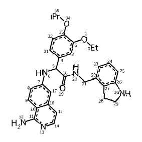 CCOc1cc(C(Nc2ccc3c(N)nccc3c2)C(=O)NCc2cccc3c2CCN3)ccc1OC(C)C